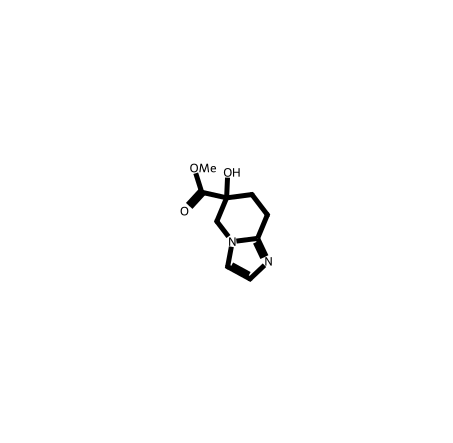 COC(=O)C1(O)CCc2nccn2C1